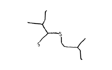 CC(C)CSC([S])C(C)C